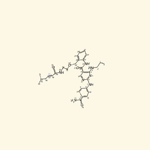 CCCNc1nc(Nc2ccc(C(N)=O)cc2)ncc1C(=O)Nc1ccccc1COCCNC(=O)/C=C/CN(C)C